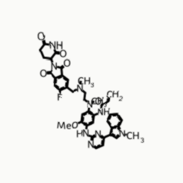 C=CC(=O)Nc1cc(Nc2nccc(-c3cn(C)c4ccccc34)n2)c(OC)cc1N(C)CCN(C)Cc1cc2c(cc1F)C(=O)N(C1CCC(=O)NC1=O)C2=O